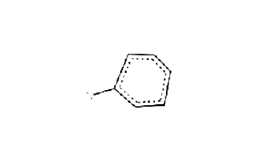 [N]c1[c]cccc1